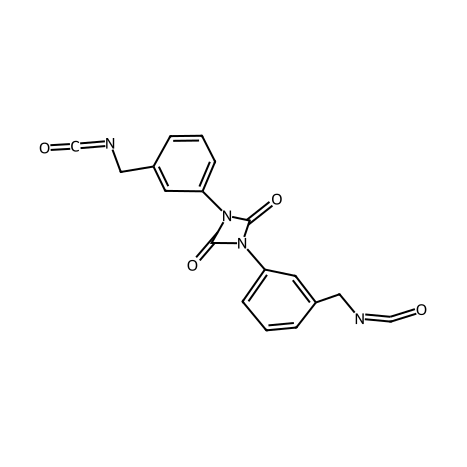 O=C=NCc1cccc(N2C(=O)N(c3cccc(CN=C=O)c3)C2=O)c1